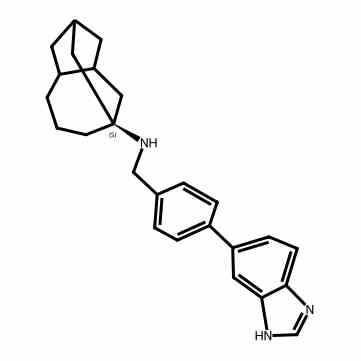 c1nc2ccc(-c3ccc(CN[C@]45CCCC6CC(CC6C4)C5)cc3)cc2[nH]1